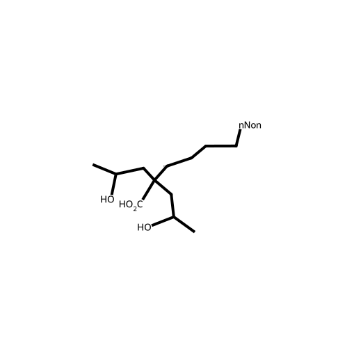 CCCCCCCCCCCC[CH]C(CC(C)O)(CC(C)O)C(=O)O